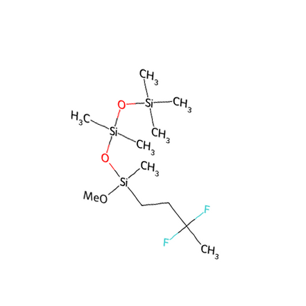 CO[Si](C)(CCC(C)(F)F)O[Si](C)(C)O[Si](C)(C)C